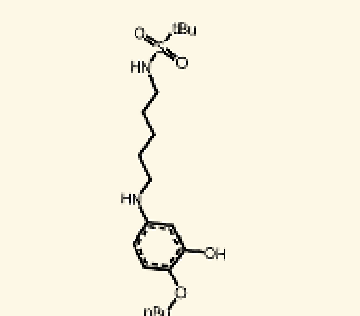 CCCCOc1ccc(NCCCCCNS(=O)(=O)C(C)(C)C)cc1O